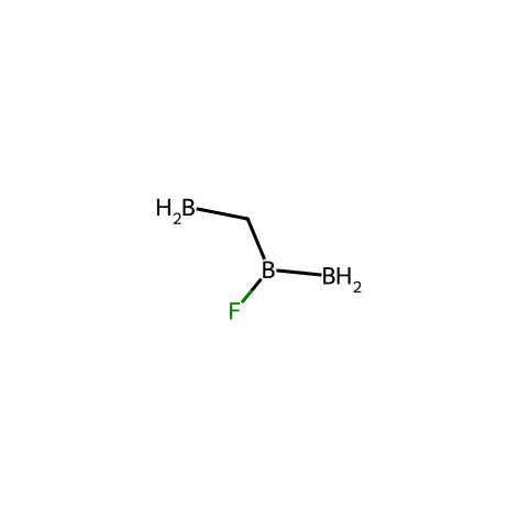 BCB(B)F